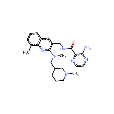 Cc1cccc2cc(CNC(=O)c3nccnc3N)c(N(C)CC3CCCN(C)C3)nc12